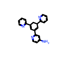 Nc1ccnc(C2=CC(c3ccccn3)CC(c3ccccn3)=C2)c1